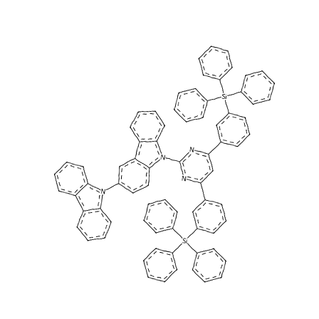 c1ccc([Si](c2ccccc2)(c2ccccc2)c2cccc(-c3cc(-c4cccc([Si](c5ccccc5)(c5ccccc5)c5ccccc5)c4)nc(-n4c5ccccc5c5cc(-n6c7ccccc7c7ccccc76)ccc54)n3)c2)cc1